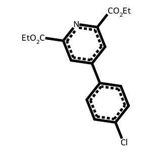 CCOC(=O)c1cc(-c2ccc(Cl)cc2)cc(C(=O)OCC)n1